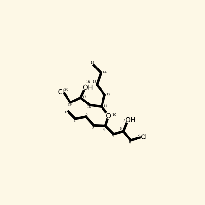 CCCCC(CC(O)CCl)OC(CCCC)CC(O)CCl